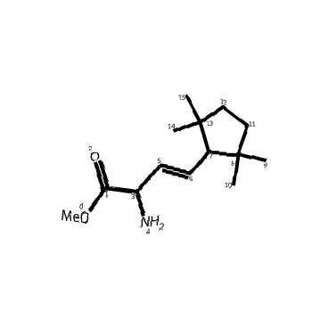 COC(=O)C(N)C=CC1C(C)(C)CCC1(C)C